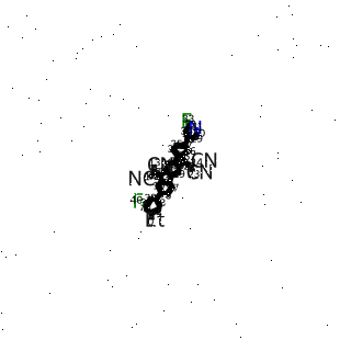 CCC1=CC=C(c2ccc3c(c2)C(=C(C#N)C#N)c2cc4c(cc2-3)C(=C(C#N)C#N)c2cc(-c3ccnc(F)c3)ccc2-4)C=C(F)C1